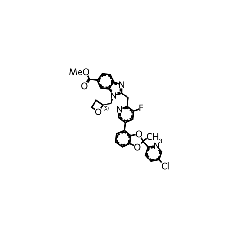 COC(=O)c1ccc2nc(Cc3ncc(-c4cccc5c4OC(C)(c4ccc(Cl)cn4)O5)cc3F)n(C[C@@H]3CCO3)c2c1